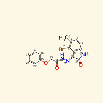 Cc1ccc2c(c1Br)/C(=N\NC(=O)COc1ccccc1)C(=O)N2